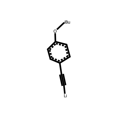 [Li][C]#Cc1ccc(OC(C)CC)cc1